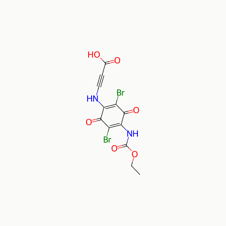 CCOC(=O)NC1=C(Br)C(=O)C(NC#CC(=O)O)=C(Br)C1=O